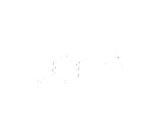 CNc1ccc(OCC(F)(F)F)cc1.Cl